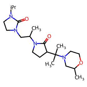 CC1CN(C(C)(C)C2CCN(C(C)CN3CCN(C(C)C)C3=O)C2=O)CCO1